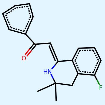 CC1(C)Cc2c(F)cccc2/C(=C/C(=O)c2ccccc2)N1